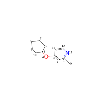 Cc1cc(OC2CCCCC2)ccn1